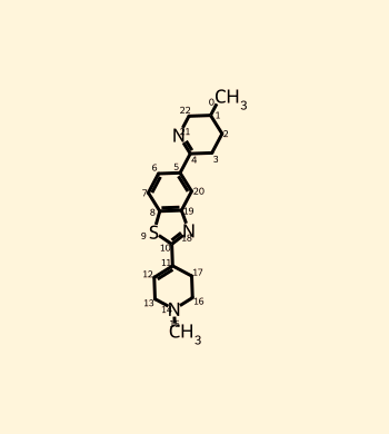 CC1CCC(c2ccc3sc(C4=CCN(C)CC4)nc3c2)=NC1